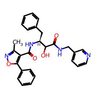 Cc1noc(-c2ccccc2)c1C(=O)N[C@@H](Cc1ccccc1)C(O)C(=O)NCc1cccnc1